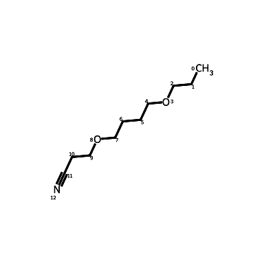 CCCOCCCCOCCC#N